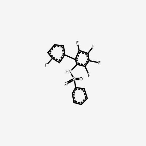 O=S(=O)(Nc1c(F)c(F)c(F)c(F)c1-c1cccc(F)c1)c1ccccc1